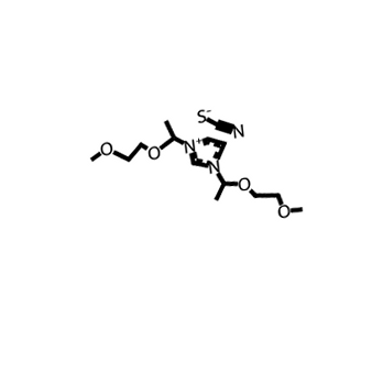 COCCOC(C)n1cc[n+](C(C)OCCOC)c1.N#C[S-]